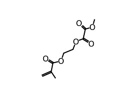 C=C(C)C(=O)OCCOC(=O)C(=O)OC